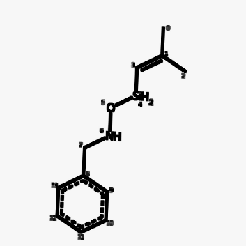 CC(C)=C[SiH2]ONCc1ccccc1